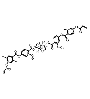 C=CC(=O)Oc1ccc(C(=O)Oc2ccc(C(=O)O[C@@H]3CO[C@H]4[C@@H]3OC[C@@H]4OC(=O)c3ccc(OC(=O)c4cc(C)c(OC(=O)C=C)cc4C)cc3OCC)c(OCC)c2)c(C)c1